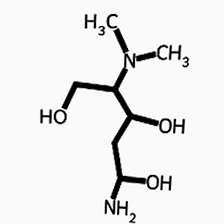 CN(C)C(CO)C(O)CC(N)O